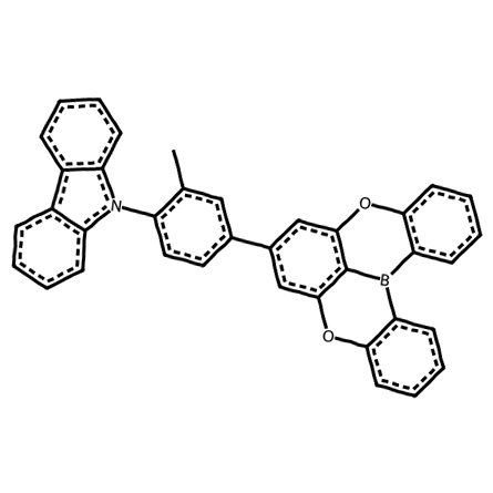 Cc1cc(-c2cc3c4c(c2)Oc2ccccc2B4c2ccccc2O3)ccc1-n1c2ccccc2c2ccccc21